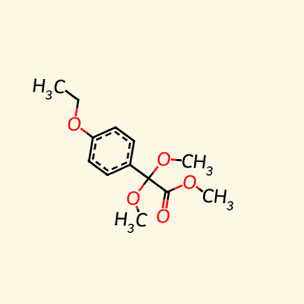 CCOc1ccc(C(OC)(OC)C(=O)OC)cc1